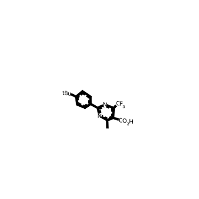 Cc1nc(-c2ccc(C(C)(C)C)cc2)nc(C(F)(F)F)c1C(=O)O